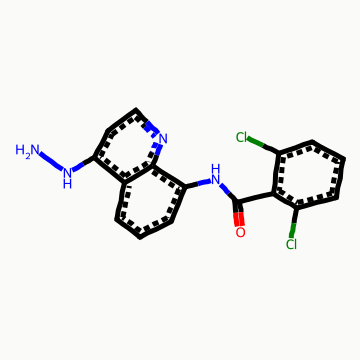 NNc1ccnc2c(NC(=O)c3c(Cl)cccc3Cl)cccc12